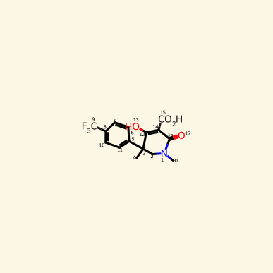 CN1CC(C)(c2ccc(C(F)(F)F)cc2)C(O)=C(C(=O)O)C1=O